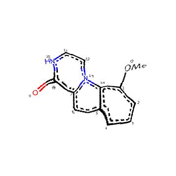 COc1cccc2cc3c(=O)[nH]ccn3c12